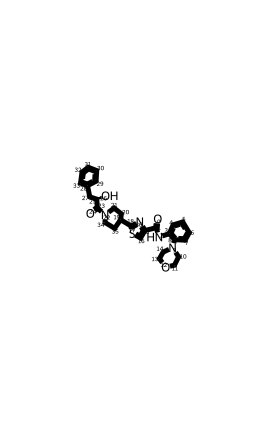 O=C(Nc1ccccc1N1CCOCC1)c1csc(C2CCN(C(=O)[C@H](O)Cc3ccccc3)CC2)n1